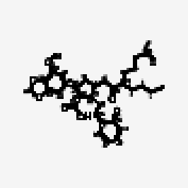 CCCCN(CCCN(C)C)C(=O)CN1C[C@H](c2cc(OC)c3c(c2)OCO3)[C@@H](C(=O)O)[C@@H]1CCn1ccccc1=O